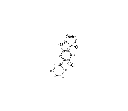 COC(=O)C1(c2ccc(C3CCCCC3)c(Cl)c2)CO1